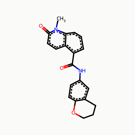 Cn1c(=O)ccc2c(C(=O)Nc3ccc4c(c3)CCCO4)cccc21